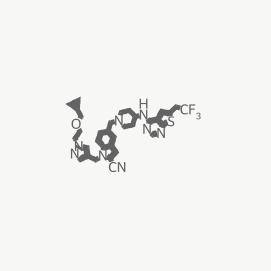 N#Cc1cc2cc(CN3CCC(Nc4ncnc5sc(CC(F)(F)F)cc45)CC3)ccc2n1Cc1cnn(CCOCC2CC2)c1